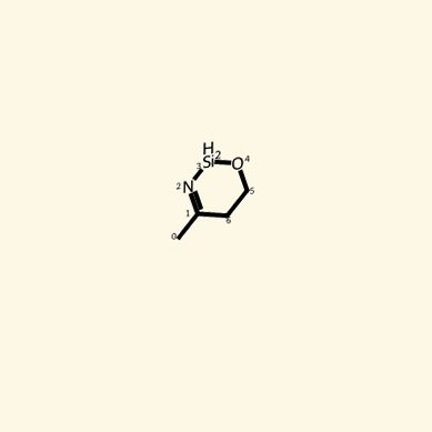 CC1=N[SiH2]OCC1